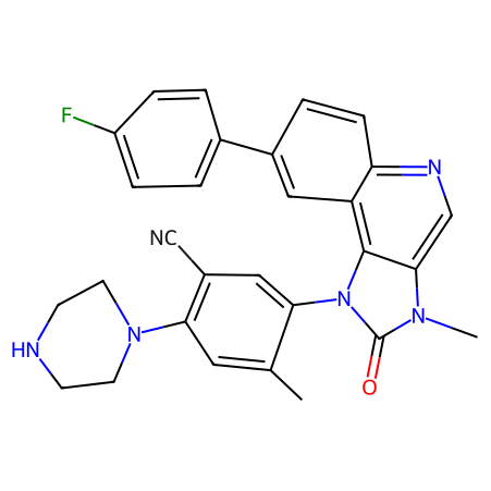 Cc1cc(N2CCNCC2)c(C#N)cc1-n1c(=O)n(C)c2cnc3ccc(-c4ccc(F)cc4)cc3c21